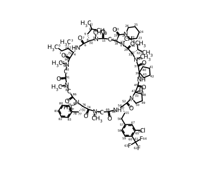 CC[C@H](C)[C@@H]1NC(=O)[C@H](CC(C)C)N(C)C(=O)C[C@@H](C(=O)N2CCCCC2)N(C)C(=O)[C@H](C(C)C)N(C)C(=O)C2(CCCC2)NC(=O)[C@@H]2CCCN2C(=O)[C@H](CCc2ccc(C(F)(F)F)c(Cl)c2)NC(=O)CN(C)C(=O)[C@H](Cc2ccccc2)N(C)C(=O)CN(C)C(=O)CN(C)C1=O